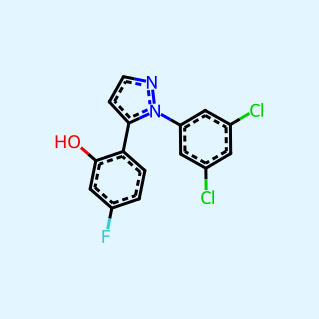 Oc1cc(F)ccc1-c1ccnn1-c1cc(Cl)cc(Cl)c1